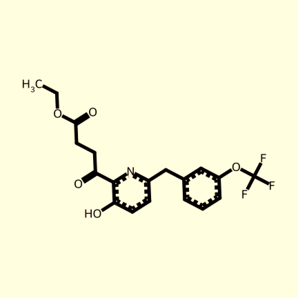 CCOC(=O)CCC(=O)c1nc(Cc2cccc(OC(F)(F)F)c2)ccc1O